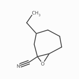 CCC1CCCC2OC2(C#N)C1